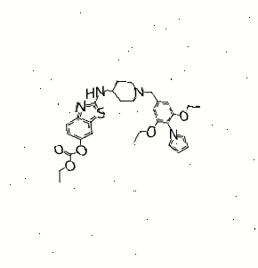 CCOC(=O)Oc1ccc2nc(NC3CCN(Cc4cc(OCC)c(-n5cccc5)c(OCC)c4)CC3)sc2c1